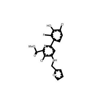 COC(=O)c1nc(-c2ccc(Cl)c(O)c2F)cc(NCc2ccco2)c1Cl